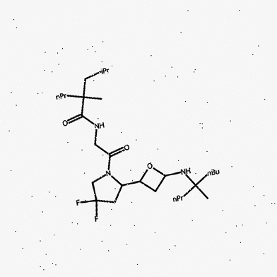 CCCCC(C)(CCC)NC1CC(C2CC(F)(F)CN2C(=O)CNC(=O)C(C)(CCC)CC(C)C)O1